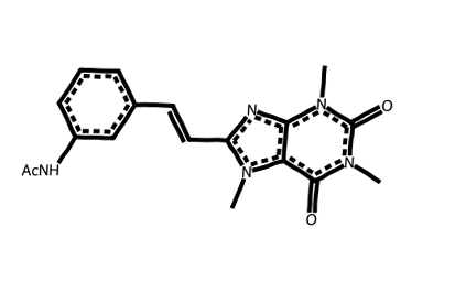 CC(=O)Nc1cccc(C=Cc2nc3c(c(=O)n(C)c(=O)n3C)n2C)c1